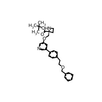 CC(C)(C)OC(=O)[C@@]1(COc2cncc(-c3ccc(CCOCc4ccccc4)cc3)c2)CCN1